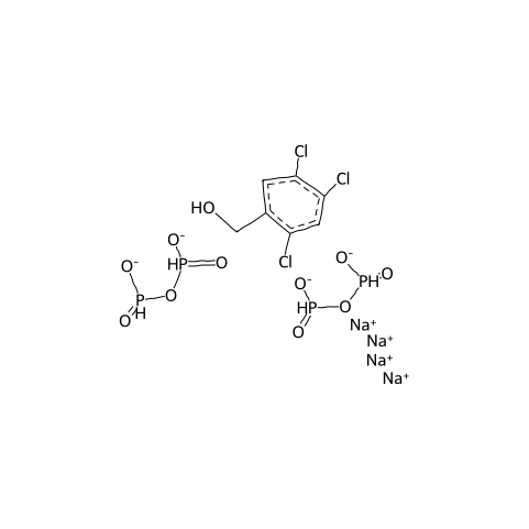 O=[PH]([O-])O[PH](=O)[O-].O=[PH]([O-])O[PH](=O)[O-].OCc1cc(Cl)c(Cl)cc1Cl.[Na+].[Na+].[Na+].[Na+]